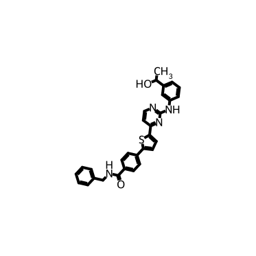 CC(O)c1cccc(Nc2nccc(-c3ccc(-c4ccc(C(=O)NCc5ccccc5)cc4)s3)n2)c1